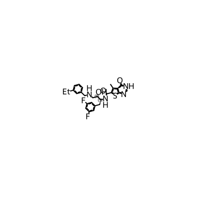 CCc1cccc(CNC[C@H](O)[C@H](Cc2cc(F)cc(F)c2)NC(=O)c2sc3nc[nH]c(=O)c3c2C)c1